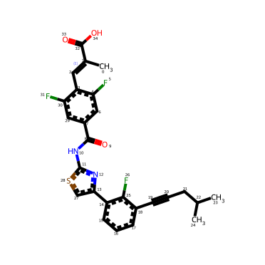 C/C(=C\c1c(F)cc(C(=O)Nc2nc(-c3cccc(C#CCC(C)C)c3F)cs2)cc1F)C(=O)O